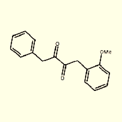 COc1ccccc1CC(=O)C(=O)Cc1ccccc1